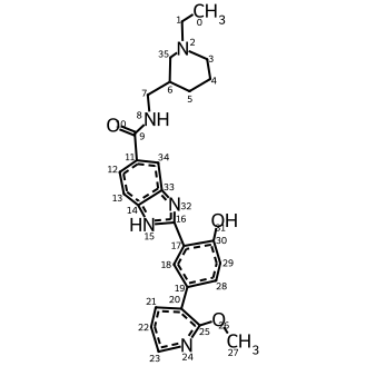 CCN1CCCC(CNC(=O)c2ccc3[nH]c(-c4cc(-c5cccnc5OC)ccc4O)nc3c2)C1